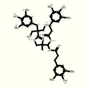 CC(C)(C)c1cc(CCC(=O)OC(OC(=O)CCc2cc(C(C)(C)C)c(O)c(C(C)(C)C)c2)C2(C)COC(C(CO)(CO)Cc3cc(C(C)(C)C)c(O)c(C(C)(C)C)c3)=N2)cc(C(C)(C)C)c1O